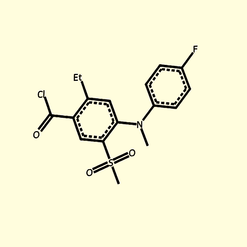 CCc1cc(N(C)c2ccc(F)cc2)c(S(C)(=O)=O)cc1C(=O)Cl